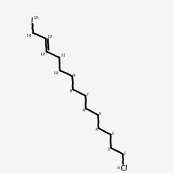 ClCCCCCCCCCCCC=CCI